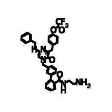 NCCNC(=O)c1ccccc1-c1cccc(CN(CCCCc2ccccc2)C(=O)[C@@H](N)Cc2ccc(OC(=O)C(F)(F)F)cc2)c1